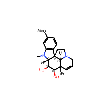 COc1ccc2c(c1)N(C)[C@H]1[C@H](O)[C@H](O)C3(C(C)C)C=CCN4CC[C@]21[C@@H]43